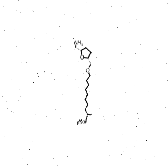 CCCCCCCCCC(C)CCCCCCCCOC[C@H]1CC[C@@H](CN)O1